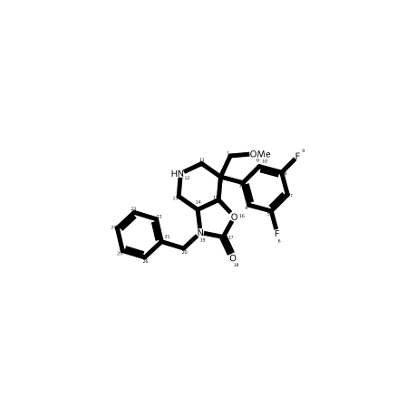 COCC1(c2cc(F)cc(F)c2)CNCC2C1OC(=O)N2Cc1ccccc1